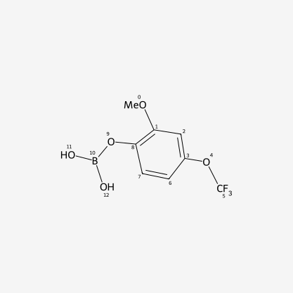 COc1cc(OC(F)(F)F)ccc1OB(O)O